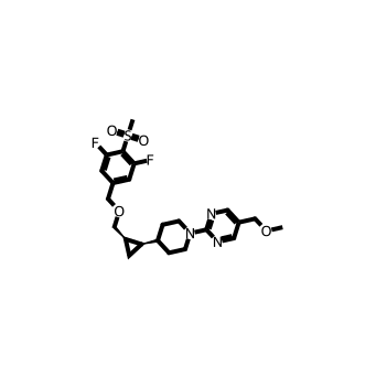 COCc1cnc(N2CCC([C@H]3C[C@H]3COCc3cc(F)c(S(C)(=O)=O)c(F)c3)CC2)nc1